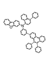 c1ccc(-c2ccc(N(c3cccc(-c4ccc5c(c4)c(-c4ccccc4)c(-c4ccccc4)c4ccccc45)c3)c3ccc4c(c3)oc3ccccc34)c3ccccc23)cc1